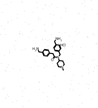 CN1CCC(N(Cc2ccc(CN)cc2)C(=O)Cc2ccc(CN)cc2)CC1.Cl